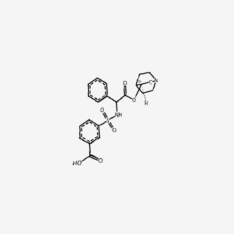 O=C(O)c1cccc(S(=O)(=O)NC(C(=O)O[C@@H]2CN3CCC2CC3)c2ccccc2)c1